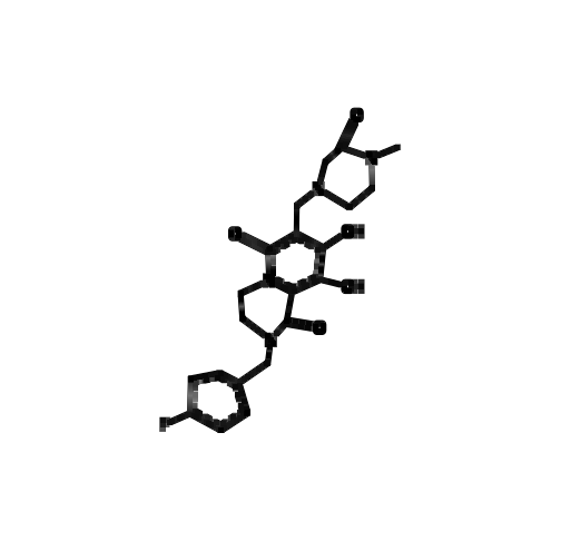 CN1CCN(Cc2c(O)c(O)c3n(c2=O)CCN(Cc2ccc(F)cc2)C3=O)CC1=O